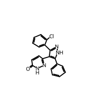 O=c1ccc(-c2c(-c3ccccc3Cl)n[nH]c2-c2ccccc2)n[nH]1